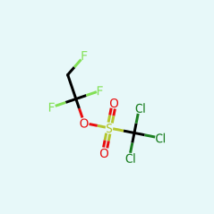 O=S(=O)(OC(F)(F)CF)C(Cl)(Cl)Cl